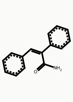 NC(=O)C(=Cc1ccccc1)c1ccccc1